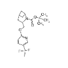 CC(C)(C)OC(=O)N1C(COc2ccc(C(F)(F)F)cn2)CC2CC1C2